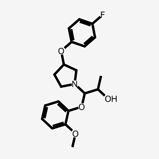 COc1ccccc1OC(C(C)O)N1CCC(Oc2ccc(F)cc2)C1